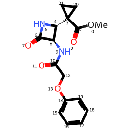 COC(=O)C1([C@H]2NC(=O)[C@@H]2NC(=O)COc2ccccc2)CC1